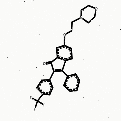 O=C1C(c2ccc(C(F)(F)F)cc2)=C(c2ccccc2)c2ccc(OCCN3CCOCC3)cc21